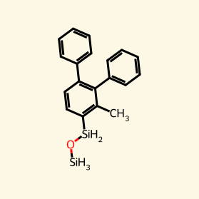 Cc1c([SiH2]O[SiH3])ccc(-c2ccccc2)c1-c1ccccc1